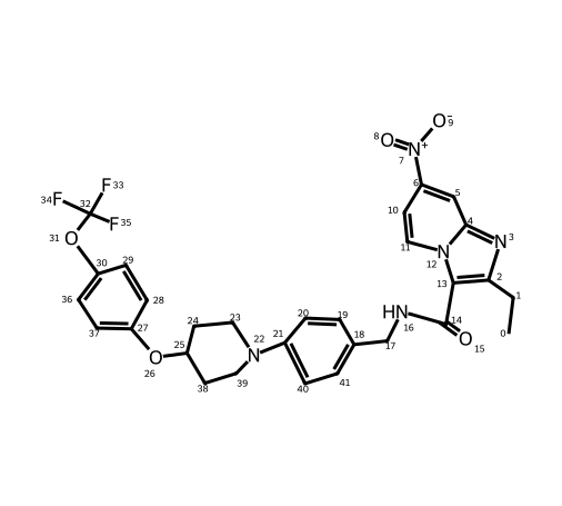 CCc1nc2cc([N+](=O)[O-])ccn2c1C(=O)NCc1ccc(N2CCC(Oc3ccc(OC(F)(F)F)cc3)CC2)cc1